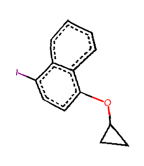 Ic1ccc(OC2CC2)c2ccccc12